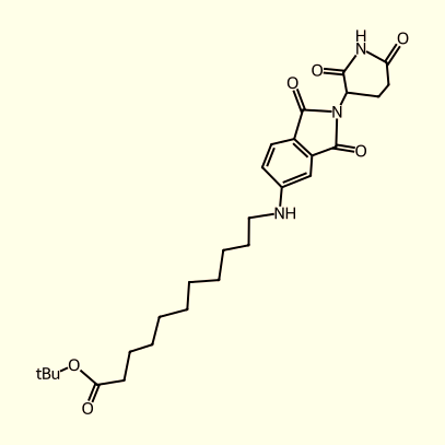 CC(C)(C)OC(=O)CCCCCCCCCCNc1ccc2c(c1)C(=O)N(C1CCC(=O)NC1=O)C2=O